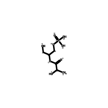 CC(O)C(=O)OC(CO)COP(=O)(O)O